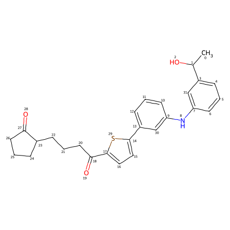 CC(O)c1cccc(Nc2cccc(-c3ccc(C(=O)CCCC4CCCC4=O)s3)c2)c1